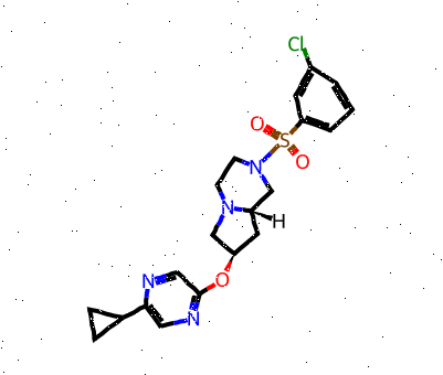 O=S(=O)(c1cccc(Cl)c1)N1CCN2C[C@H](Oc3cnc(C4CC4)cn3)C[C@H]2C1